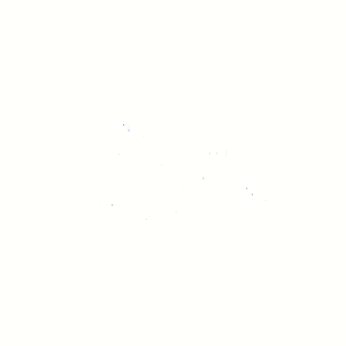 NCC(O)c1ccc(O)c(C(N)=O)c1